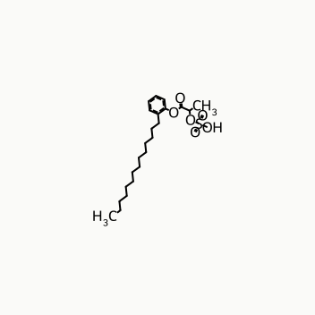 CCCCCCCCCCCCCCc1ccccc1OC(=O)C(C)OS(=O)(=O)O